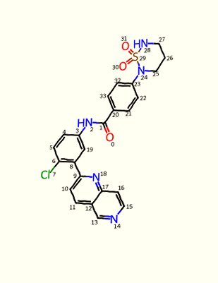 O=C(Nc1ccc(Cl)c(-c2ccc3cnccc3n2)c1)c1ccc(N2CCCNS2(=O)=O)cc1